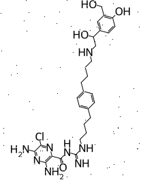 N=C(NCCCCc1ccc(CCCCNCC(O)c2ccc(O)c(CO)c2)cc1)NC(=O)c1nc(Cl)c(N)nc1N